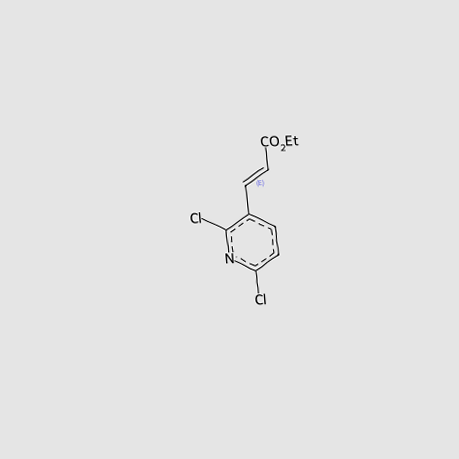 CCOC(=O)/C=C/c1ccc(Cl)nc1Cl